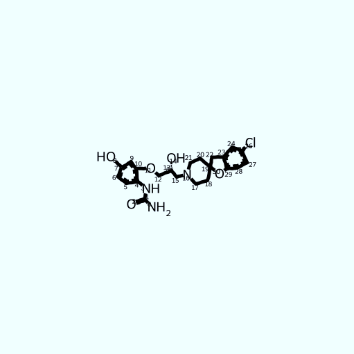 NC(=O)Nc1ccc(O)cc1OC[C@H](O)CN1CCC2(CC1)Cc1cc(Cl)ccc1O2